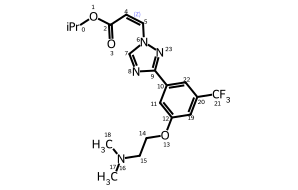 CC(C)OC(=O)/C=C\n1cnc(-c2cc(OCCN(C)C)cc(C(F)(F)F)c2)n1